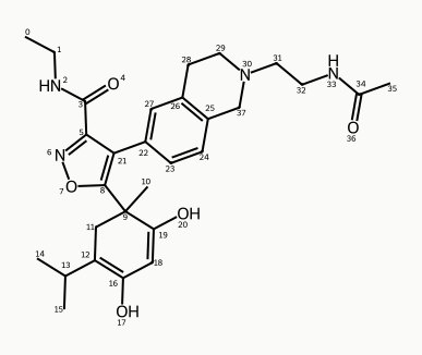 CCNC(=O)c1noc(C2(C)CC(C(C)C)=C(O)C=C2O)c1-c1ccc2c(c1)CCN(CCNC(C)=O)C2